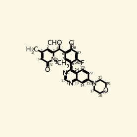 Cc1cc(C(C=O)c2cc(-c3ncnc4cc(N5CCOCC5)ccc34)c(F)cc2Cl)n(C)c(=O)c1